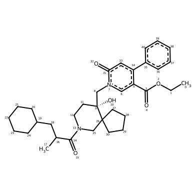 CCOC(=O)c1cn(C[C@]2(O)CCN(C(=O)C(C)CC3CCCCC3)CC23CCCC3)c(=O)cc1-c1ccccc1